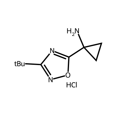 CC(C)(C)c1noc(C2(N)CC2)n1.Cl